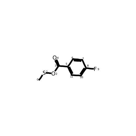 CSOC(=O)c1ccc(F)cc1